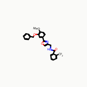 COc1ccc(-c2nc(CNC(=O)c3ccccc3C(F)(F)F)co2)cc1OCc1ccccc1